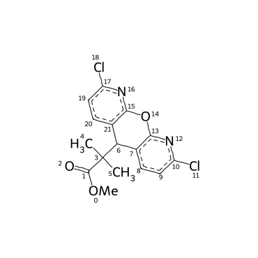 COC(=O)C(C)(C)C1c2ccc(Cl)nc2Oc2nc(Cl)ccc21